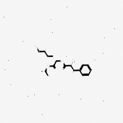 C[C@H](NC(=O)[C@H](CCCCN)NC(=O)[C@@H](N)Cc1ccccc1)C(=O)O